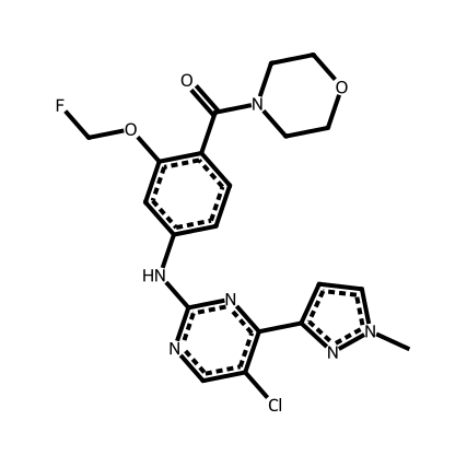 Cn1ccc(-c2nc(Nc3ccc(C(=O)N4CCOCC4)c(OCF)c3)ncc2Cl)n1